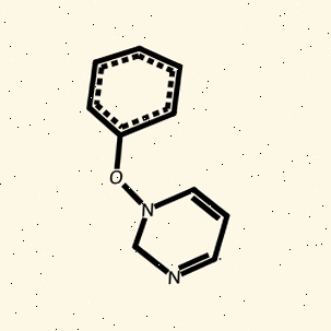 [C]1=NCN(Oc2ccccc2)C=C1